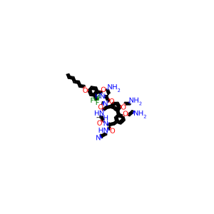 CCCCCCCOc1ccc(C(=O)N[C@@H](CCN)C(=O)N(C)[C@@H]2C(=O)N[C@@H](C)C(=O)N[C@H](C(=O)NCC#N)Cc3ccc(OCCN)c(c3)-c3cc2ccc3OCCN)c(C(F)(F)F)c1